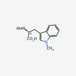 CN[C@@H](Cc1cn(C)c2ccccc12)C(=O)O